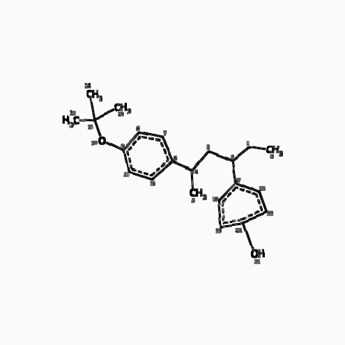 CCC(CC(C)c1ccc(OC(C)(C)C)cc1)c1ccc(O)cc1